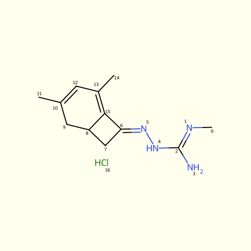 CN=C(N)NN=C1CC2CC(C)=CC(C)=C12.Cl